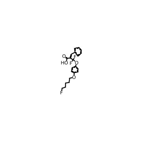 O=C(O)/C(=C/c1ccccc1)C(F)(F)Oc1ccc(OCCCCCF)cc1